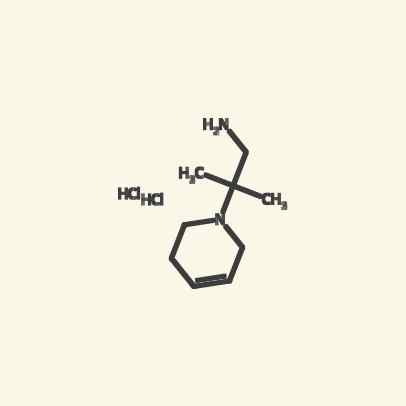 CC(C)(CN)N1CC=CCC1.Cl.Cl